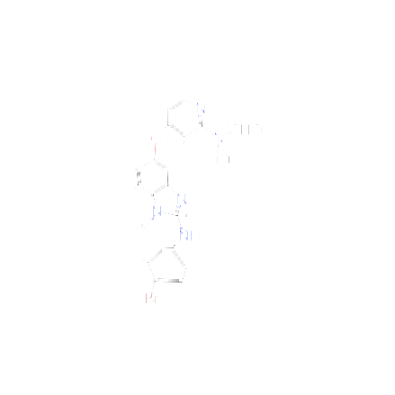 CC(C)N(C=O)c1cc(Oc2ccc3c(c2)nc(Nc2ccc(Br)cc2)n3C)ccn1